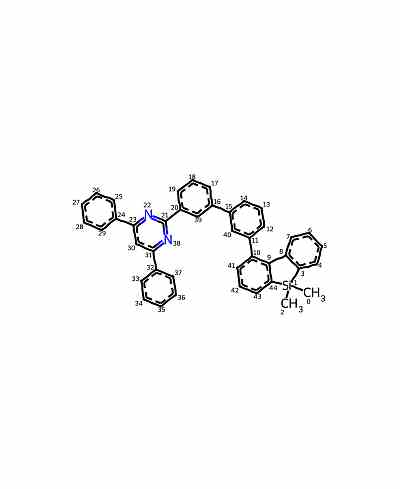 C[Si]1(C)c2ccccc2-c2c(-c3cccc(-c4cccc(-c5nc(-c6ccccc6)cc(-c6ccccc6)n5)c4)c3)cccc21